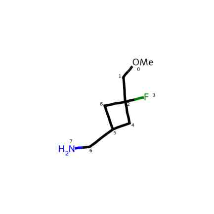 COCC1(F)CC(CN)C1